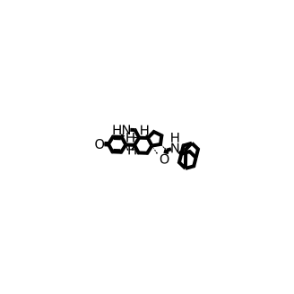 C[C@]12CC[C@H]3[C@@H](CNC4=CC(=O)C=C[C@@]43C)[C@@H]1CC[C@@H]2C(=O)NC12CC3CC(CC(C3)C1)C2